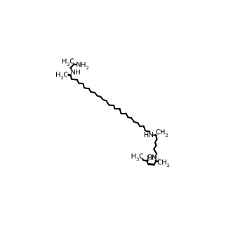 C=C(N)CNC(=C)CCCCCCCCCCCCCCCCCCCCCCCCCCNC(=C)CCCCCNC(=C)/C=C\C(=C)CC